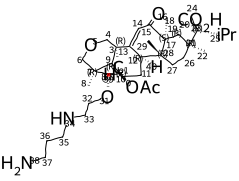 CC(=O)O[C@@H]1C[C@@]23COC[C@@](C)([C@@H]2CC[C@H]2C3=CC(=O)[C@@]3(C)[C@H](C(=O)O)[C@@](C)([C@H](C)C(C)C)CC[C@]23C)[C@H]1OCCNCCCN